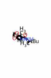 Cc1c(C(=O)NNC(C)C(C)(C)C)ccc2c1OCCO2